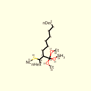 CCCCCCCCCCCCCCCCC(C(CCCCCC)SC#N)C(O[SiH3])(OCC)OCC